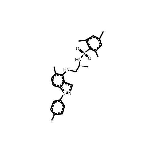 Cc1cc(C)c(S(=O)(=O)N[C@@H](C)CNc2c(C)ccc3c2cnn3-c2ccc(F)cc2)c(C)c1